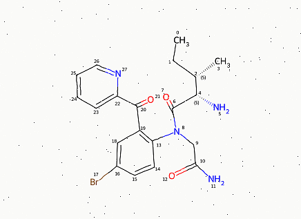 CC[C@H](C)[C@H](N)C(=O)N(CC(N)=O)c1ccc(Br)cc1C(=O)c1ccccn1